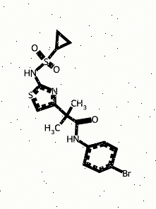 CC(C)(C(=O)Nc1ccc(Br)cc1)c1csc(NS(=O)(=O)C2CC2)n1